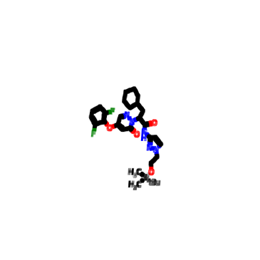 CC(C)(C)[Si](C)(C)OCCn1ccc(NC(=O)C(CC2CCCCC2)n2ncc(Oc3c(F)cccc3F)cc2=O)n1